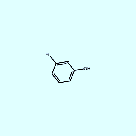 CCc1[c]c(O)ccc1